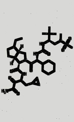 CCC1CC[C@H]2[C@@H]1CN(C(=O)[C@@H](NC(=O)N[C@H](CN(C)S(C)(=O)=O)C(C)(C)C)C1CCCCC1)[C@@H]2C(=O)NC(CC1CC1)C(=O)C(N)=O